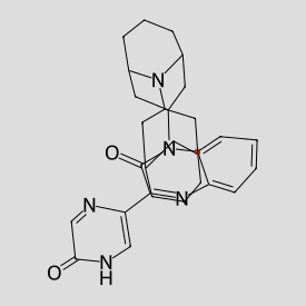 O=c1cnc(-c2nc3ccccc3n(C3CC4CCCC(C3)N4C3CC4CCCC(C4)C3)c2=O)c[nH]1